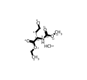 CCOC(=O)[C@H](CCCl)NC(=O)OC.Cl